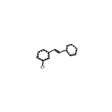 Clc1[c]ccc(/C=C/c2ccccc2)c1